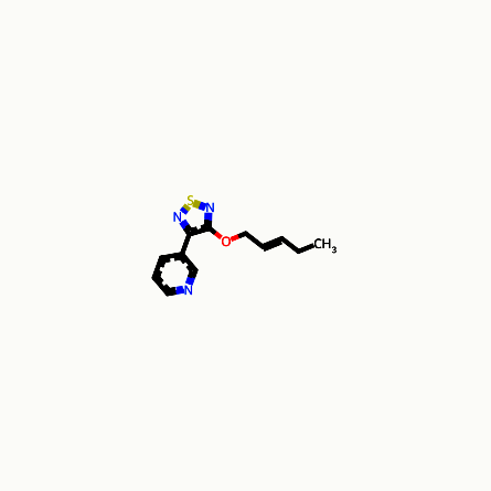 CCC=CCOc1nsnc1-c1cccnc1